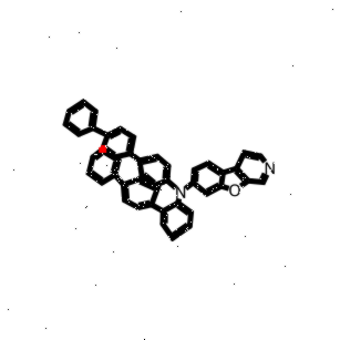 c1ccc(-c2ccc(-c3ccc(N(c4ccc5c(c4)oc4cnccc45)c4ccccc4-c4ccc(-c5ccccc5)cc4)cc3)cc2)cc1